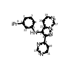 CC(C)c1cccc(Nc2c(-c3ccncn3)nn3cnccc23)c1